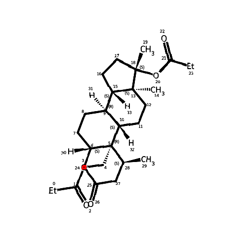 CCC(=O)OC[C@]12[C@@H](CC[C@@H]3[C@@H]1CC[C@@]1(C)[C@H]3CC[C@]1(C)OC(=O)CC)CC(=O)C[C@@H]2C